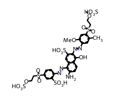 COc1cc(S(=O)(=O)CCOS(=O)(=O)O)c(C)cc1/N=N/c1c(S(=O)(=O)O)cc2c(/N=N/c3ccc(S(=O)(=O)CCOS(=O)(=O)O)cc3S(=O)(=O)O)c(N)ccc2c1O